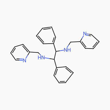 c1ccc(C(NCc2ccccn2)C(NCc2ccccn2)c2ccccc2)cc1